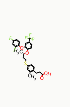 Cc1cc(SCC[C@H](C)Oc2ccc(C(F)(F)F)cc2Oc2ccc(F)cc2F)ccc1CCC(=O)O